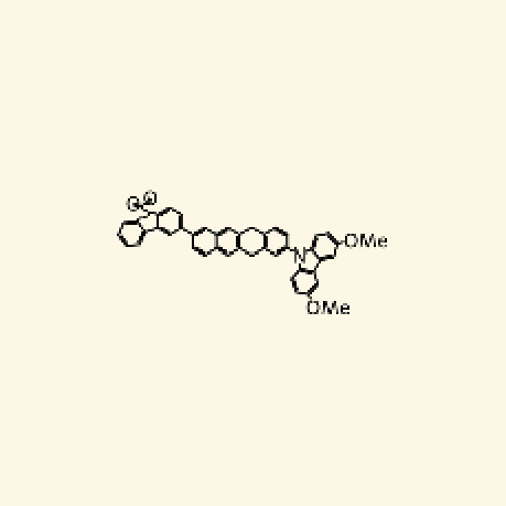 COc1ccc2c(c1)c1cc(OC)ccc1n2-c1ccc2c(c1)Cc1cc3ccc(-c4ccc5c(c4)-c4ccccc4S5(=O)=O)cc3cc1C2